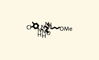 COCCCCn1nnc2nc(Nc3ccc(C)c(Cl)c3)[nH]c(=O)c21